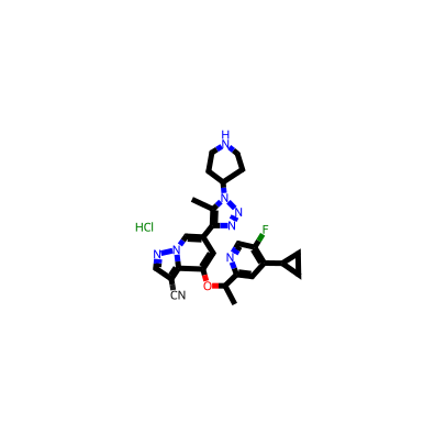 Cc1c(-c2cc(OC(C)c3cc(C4CC4)c(F)cn3)c3c(C#N)cnn3c2)nnn1C1CCNCC1.Cl